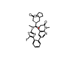 CN(C(=O)[C@@H](CC(=O)O)CC1CCCC1)c1nc(-c2ccccc2-c2cnc3c(c2)CCC(=O)N3C)c(F)s1